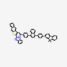 CC1(C)c2ccccc2-c2ccc(-c3ccc(-c4ccc(-c5ccc(-c6cc7c8cc9ccccc9cc8sc7c7nc8ccccc8n67)cc5)c5ccccc45)cc3)cc21